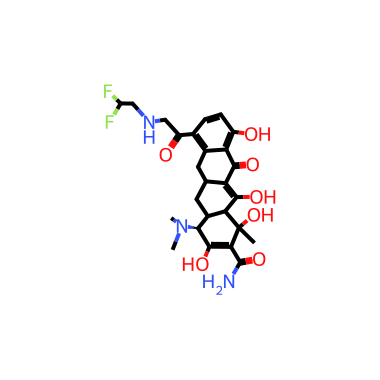 CN(C)[C@@H]1C(O)=C(C(N)=O)C(C)(O)C2C(O)=C3C(=O)c4c(O)ccc(C(=O)CNCC(F)F)c4CC3CC21